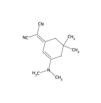 CN(C)C1=CC(=C(C#N)C#N)CC(C)(C)C1